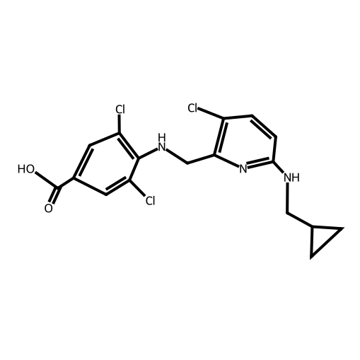 O=C(O)c1cc(Cl)c(NCc2nc(NCC3CC3)ccc2Cl)c(Cl)c1